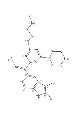 CNCCOc1cc(N2CCOCC2)cc(/C(=N\N)c2ccc3[nH]c(C)c(C)c3c2)n1